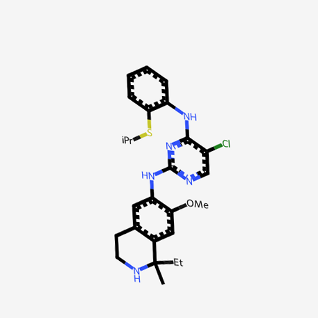 CCC1(C)NCCc2cc(Nc3ncc(Cl)c(Nc4ccccc4SC(C)C)n3)c(OC)cc21